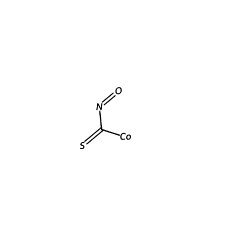 O=N[C](=S)[Co]